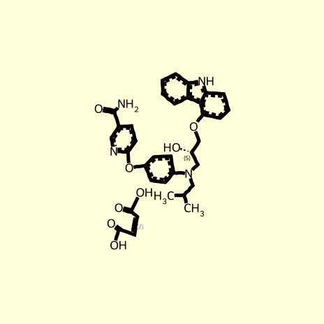 CC(C)CN(C[C@H](O)COc1cccc2[nH]c3ccccc3c12)c1ccc(Oc2ccc(C(N)=O)cn2)cc1.O=C(O)/C=C\C(=O)O